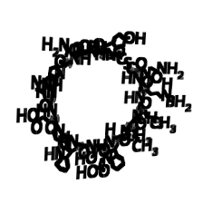 BNCCCC[C@@H]1NC(=O)[C@H](CCCC)N(C)C(=O)[C@H](CCCC)N(C)C(=O)[C@H](Cc2cn(CC(=O)O)c3ccccc23)NC(=O)[C@H](CO)NC(=O)[C@H](Cc2c[nH]c3ccccc23)NC(=O)[C@@H]2CCCN2C(=O)[C@H](CCC(=O)O)NC(=O)[C@H](Cc2cnc[nH]2)NC(=O)[C@@H]2CCCN2C(=O)[C@H](CC(N)=O)NC(=O)[C@H](C)N(C)C(=O)[C@H](Cc2ccc(O)cc2)NC(=O)CSC[C@@H](C(=O)NCC(N)=O)NC1=O